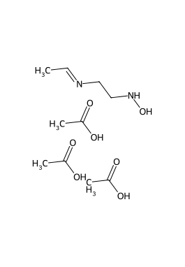 CC(=O)O.CC(=O)O.CC(=O)O.CC=NCCNO